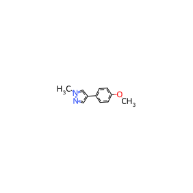 COc1ccc(-c2cnn(C)c2)cc1